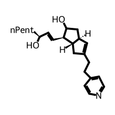 CCCCC[C@H](O)/C=C/[C@H]1C(O)C[C@H]2C=C(CCc3ccncc3)C[C@@H]21